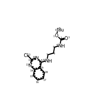 CC(C)(C)OC(=O)NCCCNc1nc(Cl)nc2ccccc12